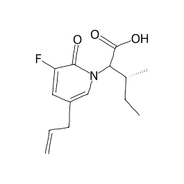 C=CCc1cc(F)c(=O)n(C(C(=O)O)[C@H](C)CC)c1